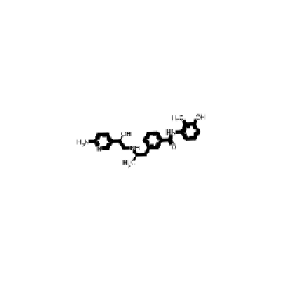 Cc1c(O)cccc1NC(=O)c1cccc(C[C@@H](C)NC[C@H](O)c2ccc(N)nc2)c1